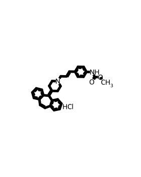 COC(=O)Nc1ccc(C=CCN2CCC(=C3c4ccccc4C=Cc4ccccc43)CC2)cc1.Cl